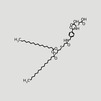 CCCCCCCCCCCCCCCC(=O)OCC(CSCCC(=O)NCc1ccc(C(=O)N[C@@H](CCC(=O)O)C(=O)O)cc1)OC(=O)CCCCCCCCCCCCCCC